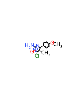 COc1ccc(-c2nc(N)[n+]([O-])c(Cl)c2C)cc1